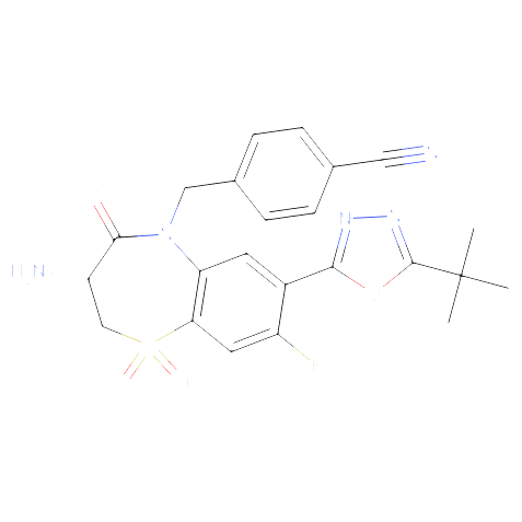 CC(C)(C)c1nnc(-c2cc3c(cc2F)S(=O)(=O)C[C@H](N)C(=O)N3Cc2ccc(C#N)cc2)o1